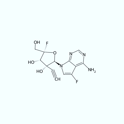 C#C[C@]1(O)[C@H](n2cc(F)c3c(N)ncnc32)O[C@](F)(CO)[C@H]1O